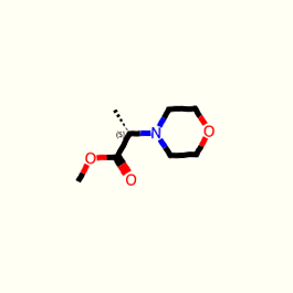 COC(=O)[C@H](C)N1CCOCC1